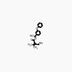 CC1(C)C(C=N)C1C(=O)O[C@@H](C#N)c1cccc(Oc2ccccc2)c1